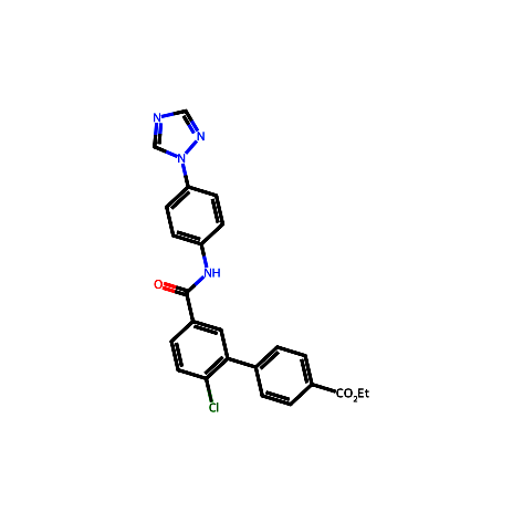 CCOC(=O)c1ccc(-c2cc(C(=O)Nc3ccc(-n4cncn4)cc3)ccc2Cl)cc1